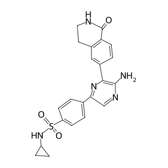 Nc1ncc(-c2ccc(S(=O)(=O)NC3CC3)cc2)nc1-c1ccc2c(c1)CCNC2=O